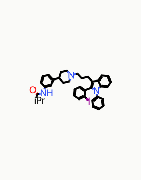 CC(C)C(=O)Nc1cccc(C2CCN(CCCc3c(-c4ccccc4I)n(-c4ccccc4)c4ccccc34)CC2)c1